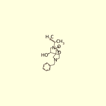 C/C=C(\C)N1C[C@H](O)C2(CCN(Cc3ccccc3)C2)S1(=O)=O